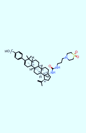 C=C(C)[C@@H]1CC[C@]2(NC(=O)NCCCN3CCS(=O)(=O)CC3)CC[C@]3(C)[C@H](CC[C@@H]4[C@@]5(C)CC=C(c6ccc(C(=O)O)cc6)C(C)(C)[C@@H]5CC[C@]43C)[C@@H]12